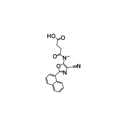 CN(C(=O)CCC(=O)O)c1oc(-c2cccc3ccccc23)nc1C#N